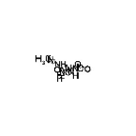 CN1CCC(Nc2cccc3c2cc(-c2nc(CNC(=O)OCc4ccccc4)no2)n3CC(F)(F)F)CC1